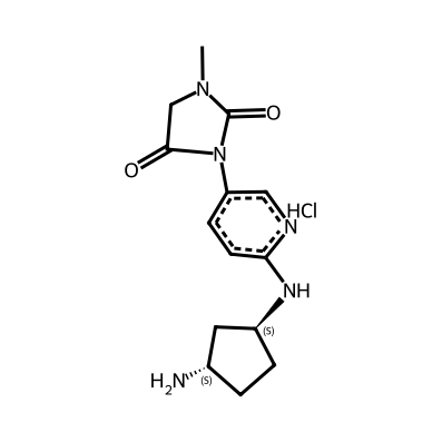 CN1CC(=O)N(c2ccc(N[C@H]3CC[C@H](N)C3)nc2)C1=O.Cl